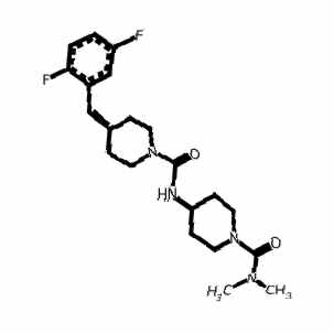 CN(C)C(=O)N1CCC(NC(=O)N2CCC(=Cc3cc(F)ccc3F)CC2)CC1